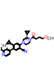 C=Cc1cc(-c2cc(C#N)c(N3CCN(C(=O)CCCOC)[C@H](C4CC4)C3)cc2C2CC2)ccn1